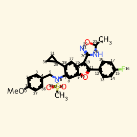 COc1ccc(CN(c2cc3oc(-c4ccc(F)cc4)c(C4=NOC(C)N4)c3cc2C2CC2)S(C)(=O)=O)cc1